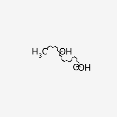 CC/C=C\C/C=C\CC(O)/C=C/C=C\C/C=C\C/C=C\CCC(=O)O